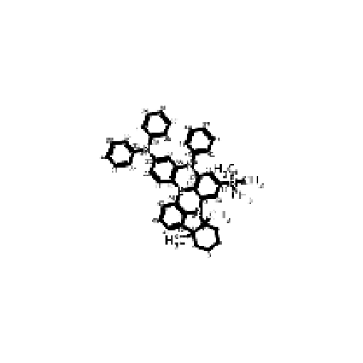 CC12CCCCC1(C)N1c3cc([Si](C)(C)C)cc4c3B(c3ccc(N(c5ccccc5)c5ccccc5)cc3N4c3ccccc3)c3cccc2c31